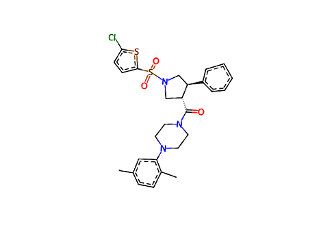 Cc1ccc(C)c(N2CCN(C(=O)[C@@H]3CN(S(=O)(=O)c4ccc(Cl)s4)C[C@H]3c3ccccc3)CC2)c1